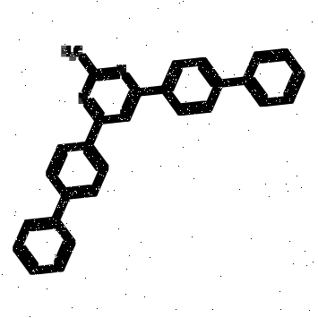 Cc1nc(-c2ccc(-c3ccccc3)cc2)cc(-c2ccc(-c3ccccc3)cc2)n1